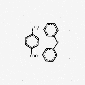 O=C([O-])c1ccc(C(=O)O)cc1.c1ccc([I+]c2ccccc2)cc1